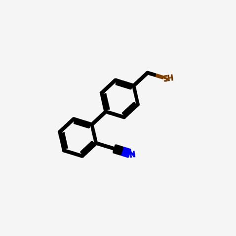 N#Cc1ccccc1-c1ccc(CS)cc1